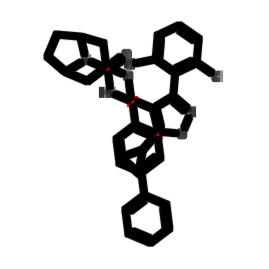 O=C(NCc1ccc(-c2ccccc2)cc1)N1C2CCC1CC(OCc1c(-c3c(Cl)cccc3Cl)noc1C1CC1)C2